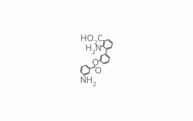 Nc1cccc(C(=O)Oc2cccc(-c3cccc(C(=O)O)c3N)c2)c1